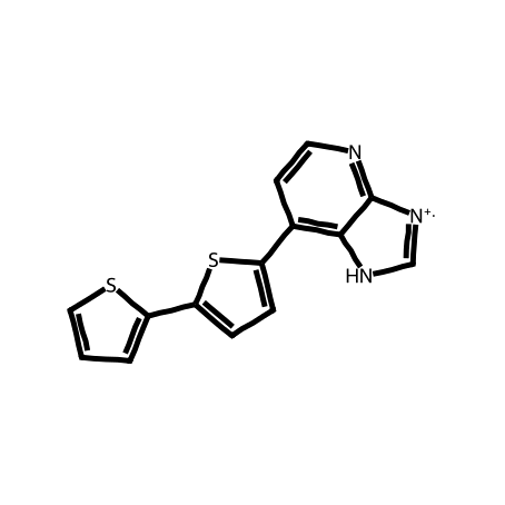 C1=[N+]c2nccc(-c3ccc(-c4cccs4)s3)c2N1